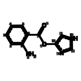 Nc1ccccc1C(=O)Oc1c[nH]cn1